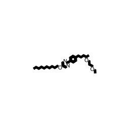 CCCCCCCCCCOc1cnc(-c2ccc(CCCC(C)OCCCOCC)cc2)nc1